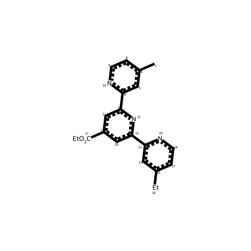 CCOC(=O)c1cc(-c2cc(C)ccn2)nc(-c2cc(CC)ccn2)c1